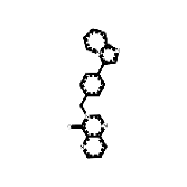 O=c1c2ncccc2ncn1Cc1ccc(-c2cnc3ccccn23)cc1